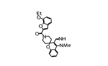 CCOc1cccc2cc(C(=O)N3CCC4(CC3)Oc3ccccc3C(NC)=C4C=N)oc12